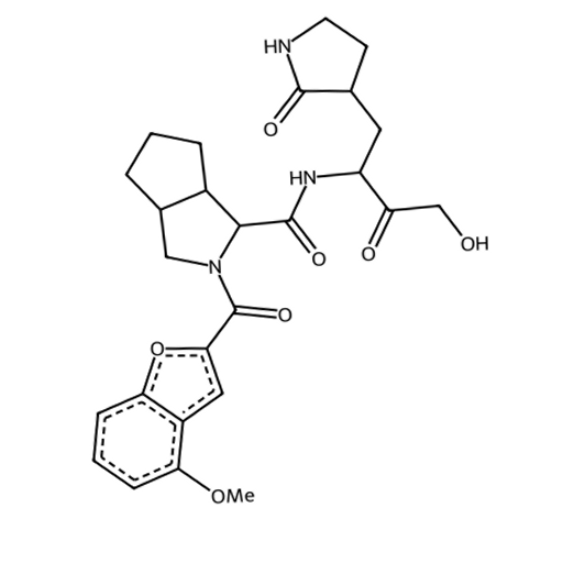 COc1cccc2oc(C(=O)N3CC4CCCC4C3C(=O)NC(CC3CCNC3=O)C(=O)CO)cc12